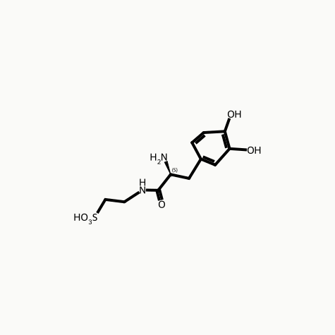 N[C@@H](Cc1ccc(O)c(O)c1)C(=O)NCCS(=O)(=O)O